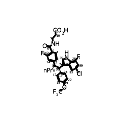 CCC[C@H](c1ccc(C(=O)NCCC(=O)O)c(F)c1)[C@H](c1ccc(OC(F)(F)F)cc1)c1c[nH]c2c(F)cc(Cl)cc12